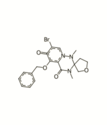 CN1C(=O)c2c(OCc3ccccc3)c(=O)c(Br)cn2N(C)C12CCOC2